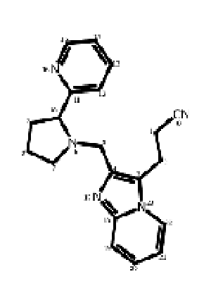 N#CCCc1c(CN2CCCC2c2ccccn2)nc2ccccn12